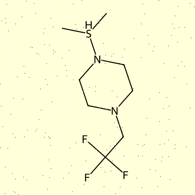 C[SH](C)N1CCN(CC(F)(F)F)CC1